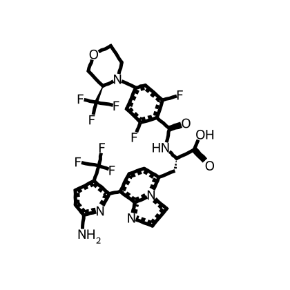 Nc1ccc(C(F)(F)F)c(-c2ccc(C[C@H](NC(=O)c3c(F)cc(N4CCOC[C@@H]4C(F)(F)F)cc3F)C(=O)O)n3ccnc23)n1